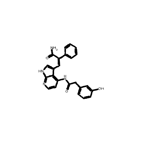 NC(=O)C(=Cc1c[nH]c2nccc(NC(=O)Cc3cccc(O)c3)c12)c1ccccc1